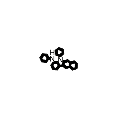 c1ccc(Nc2cccc3c4cc5ccccc5cc4n(-c4ccccc4)c23)cc1